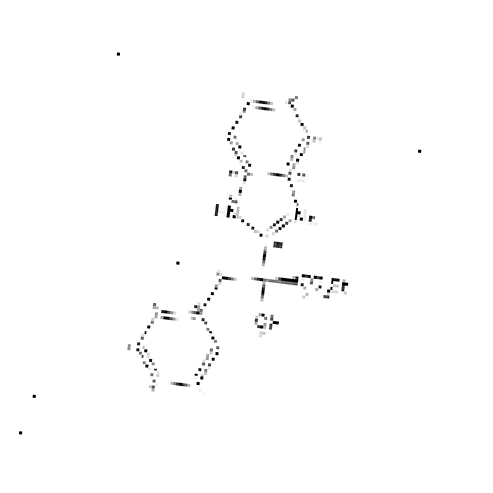 CCOC(=O)[C@@](O)(Cc1ccccc1)c1nc2ccccc2[nH]1